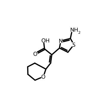 Nc1nc(/C(=C/C2CCCCO2)C(=O)O)cs1